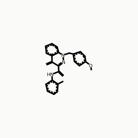 C=C(Nc1ccccc1C)C1=NN(Cc2ccc(OC)cc2)c2ccccc2C1=C